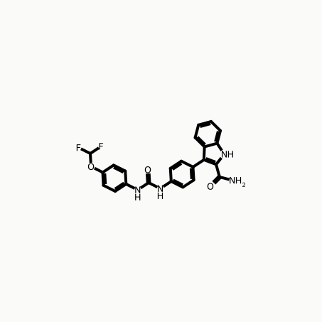 NC(=O)c1[nH]c2ccccc2c1-c1ccc(NC(=O)Nc2ccc(OC(F)F)cc2)cc1